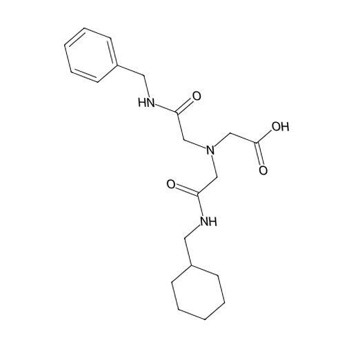 O=C(O)CN(CC(=O)NCc1ccccc1)CC(=O)NCC1CCCCC1